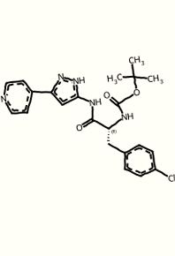 CC(C)(C)OC(=O)N[C@H](Cc1ccc(Cl)cc1)C(=O)Nc1cc(-c2ccncc2)n[nH]1